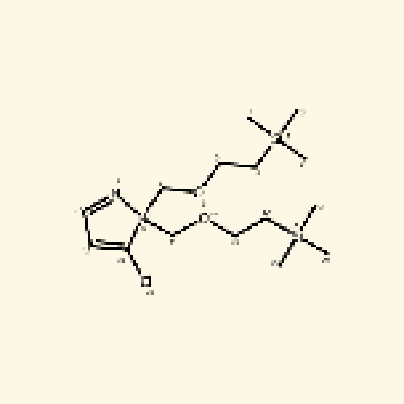 C[Si](C)(C)CCOC[N+]1(COCC[Si](C)(C)C)N=CC=C1Cl